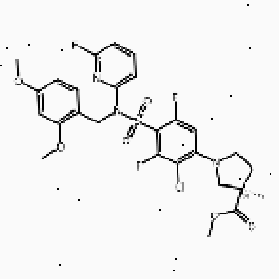 COC(=O)[C@]1(C)CCN(c2cc(F)c(S(=O)(=O)N(Cc3ccc(OC)cc3OC)c3cccc(F)n3)c(F)c2Cl)C1